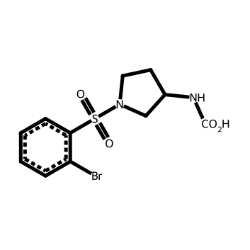 O=C(O)NC1CCN(S(=O)(=O)c2ccccc2Br)C1